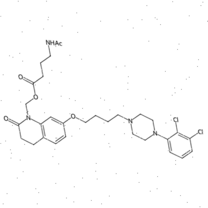 CC(=O)NCCCC(=O)OCN1C(=O)CCc2ccc(OCCCCN3CCN(c4cccc(Cl)c4Cl)CC3)cc21